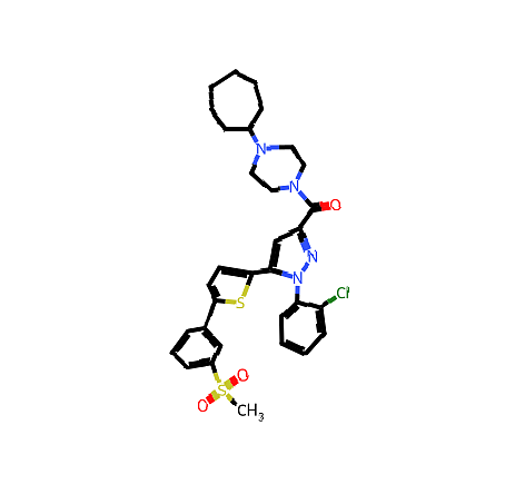 CS(=O)(=O)c1cccc(-c2ccc(-c3cc(C(=O)N4CCN(C5CCCCCC5)CC4)nn3-c3ccccc3Cl)s2)c1